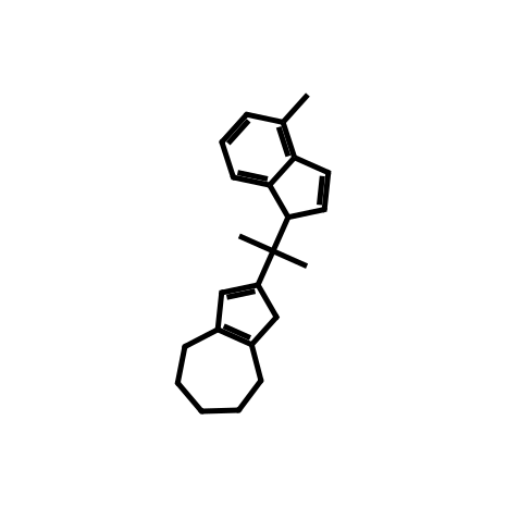 Cc1cccc2c1C=CC2C(C)(C)C1=CC2=C(CCCCC2)C1